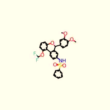 COc1ccc(C2Oc3cccc(OC(F)F)c3-c3ccc(NS(=O)(=O)c4ccccc4)cc32)cc1OC